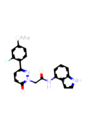 COc1ccc(-c2ccc(=O)n(CC(=O)Nc3cccc4[nH]ccc34)n2)c(F)c1